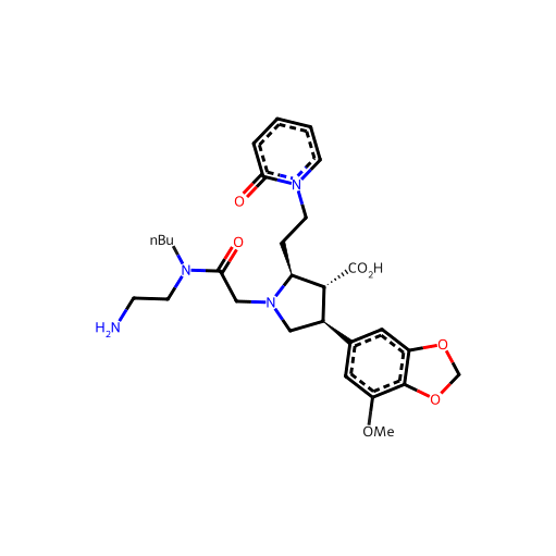 CCCCN(CCN)C(=O)CN1C[C@H](c2cc(OC)c3c(c2)OCO3)[C@@H](C(=O)O)[C@@H]1CCn1ccccc1=O